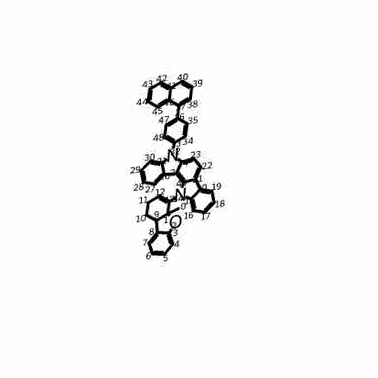 CC12Oc3ccccc3C1CCC=C2n1c2ccccc2c2ccc3c(c4ccccc4n3-c3ccc(-c4cccc5ccccc45)cc3)c21